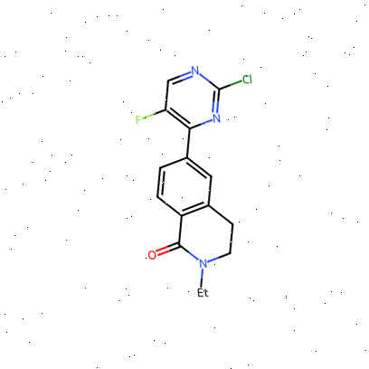 CCN1CCc2cc(-c3nc(Cl)ncc3F)ccc2C1=O